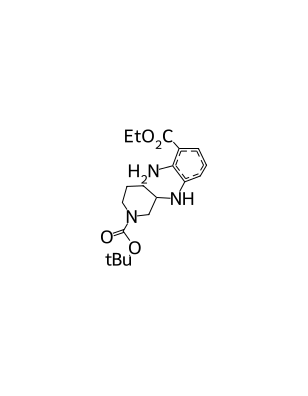 CCOC(=O)c1cccc(NC2CCCN(C(=O)OC(C)(C)C)C2)c1N